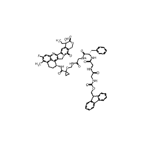 CC[C@@]1(O)C(=O)OCc2c1cc1n(c2=O)Cc2c-1nc1cc(F)c(C)c3c1c2[C@@H](NC(=O)C1(OCNC(=O)CNC(=O)[C@H](Cc2ccccc2)NC(=O)CNC(=O)CNC(=O)OCC2c4ccccc4-c4ccccc42)CC1)CC3